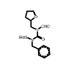 CSN(Cc1ccccc1)C(=O)N(C=O)CC1CCCO1